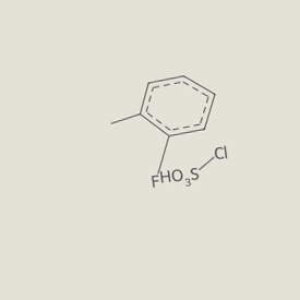 Cc1ccccc1F.O=S(=O)(O)Cl